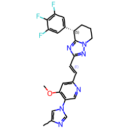 COc1cc(/C=C/c2nc3n(n2)CCC[C@H]3c2cc(F)c(F)c(F)c2)ncc1-n1cnc(C)c1